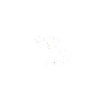 COC(=O)c1cc(-c2ccnc3c2ccn3-c2cccnc2)ccc1C(F)(F)F